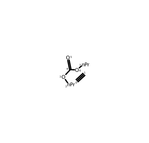 C#C.CCCOC(=O)OCCC